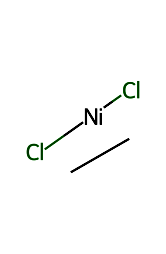 CC.[Cl][Ni][Cl]